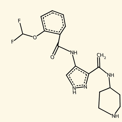 C=C(NC1CCNCC1)c1n[nH]cc1NC(=O)c1ccccc1OC(F)F